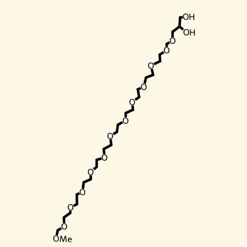 COCOCCOCCOCCOCCOCCOCCOCCOCCOCCOCCOCOCC(O)CO